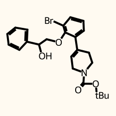 CC(C)(C)OC(=O)N1CC=C(c2cccc(Br)c2OCC(O)c2ccccc2)CC1